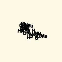 COC(=O)[C@@H](N)CNC(=O)CNC(=O)c1cccc(N/C(=N/C(=O)OC(C)(C)C)NC(=O)OC(C)(C)C)c1